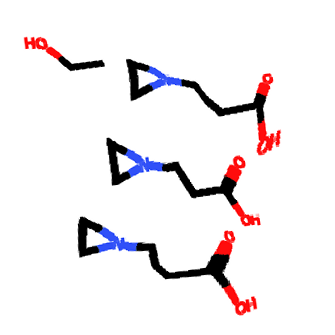 CCO.O=C(O)CCN1CC1.O=C(O)CCN1CC1.O=C(O)CCN1CC1